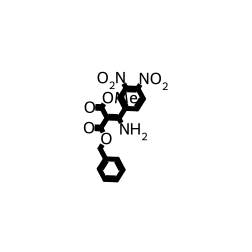 COC(=O)C(C(=O)OCc1ccccc1)=C(N)c1ccc([N+](=O)[O-])c([N+](=O)[O-])c1